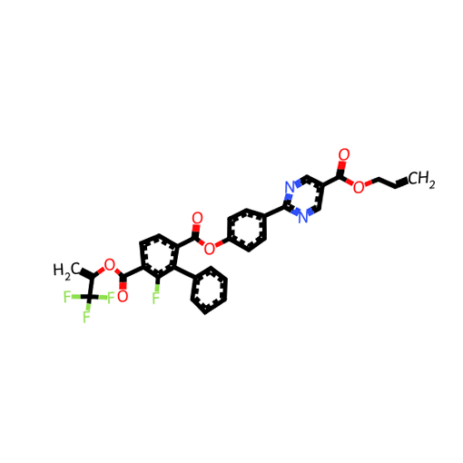 C=CCOC(=O)c1cnc(-c2ccc(OC(=O)c3ccc(C(=O)OC(=C)C(F)(F)F)c(F)c3-c3ccccc3)cc2)nc1